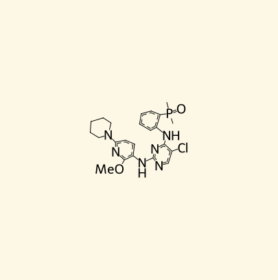 COc1nc(N2CCCCC2)ccc1Nc1ncc(Cl)c(Nc2ccccc2P(C)(C)=O)n1